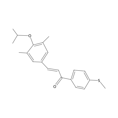 CSc1ccc(C(=O)/C=C/c2cc(C)c(OC(C)C)c(C)c2)cc1